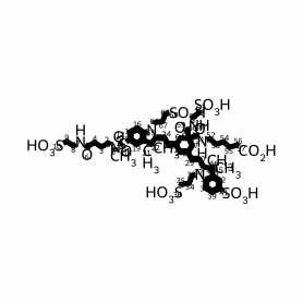 CN(CCCC(=O)NCCS(=O)(=O)O)S(=O)(=O)c1ccc2c(c1)C(C)(C)/C(=C\C=C1C=C(/C=C/C3=[N+](CCCS(=O)(=O)O)c4ccc(S(=O)(=O)O)cc4C3(C)C)CC(C(=O)NCCCCCC(=O)O)(C(=O)NCCS(=O)(=O)O)C\1)N2CCCS(=O)(=O)O